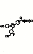 COc1ccc(-n2nc(C3CCN(C(=O)N(C)O)CC3)cc2-c2ccc(CO)c(F)c2)cc1